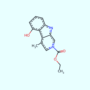 CCOC(=O)n1cc2nc3cccc(O)c3c-2c(C)c1